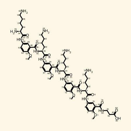 COc1ccc(NC(=O)[C@H](CCCCN)NC(=O)c2cc(NC(=O)[C@H](CCCCN)NC(=O)c3cc(NC(=O)[C@H](CCCCN)NC(=O)c4cc(NC(=O)[C@@H](N)CCCCN)ccc4OC)ccc3OC)ccc2OC)cc1C(=O)NCCC(=O)O